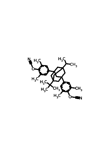 Cc1cc(C23CC4(c5cc(C)c(OC#N)c(C)c5)CC(C(C)C)(C2)CC(C(C)(C)C)(C3)C4)cc(C)c1OC#N